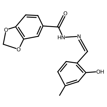 Cc1ccc(/C=N\NC(=O)c2ccc3c(c2)OCO3)c(O)c1